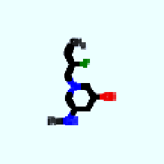 C=CC(F)CN1CC(O)CC(NC(C)C)C1